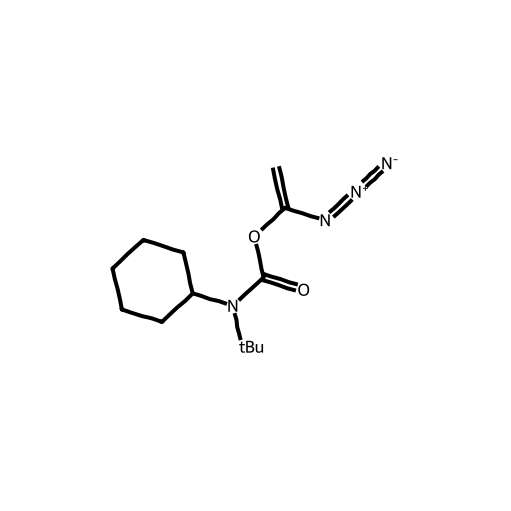 C=C(N=[N+]=[N-])OC(=O)N(C1CCCCC1)C(C)(C)C